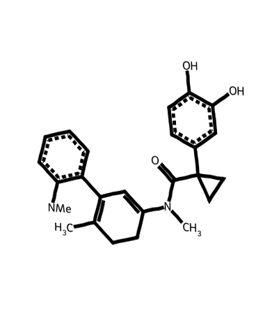 CNc1ccccc1C1=C(C)CCC(N(C)C(=O)C2(c3ccc(O)c(O)c3)CC2)=C1